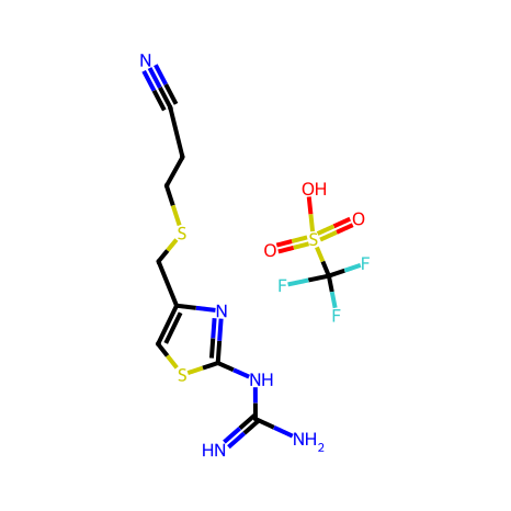 N#CCCSCc1csc(NC(=N)N)n1.O=S(=O)(O)C(F)(F)F